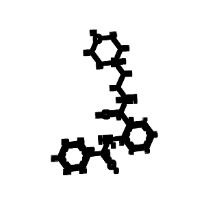 O=C(Nc1ccccc1C(=O)NCCN1CCOCC1)c1ccccc1